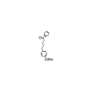 COc1ccc(CCCCC(=O)N2CC=CC2)cc1